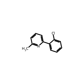 Cc1cccc(-c2ccccc2Cl)n1